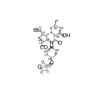 C[C@@H]1CC[C@@H](C(=O)N(c2cc(C(C)(C)C)sc2C(=O)O)[C@H]2CC[C@H](O[C@H]3CCOC3)CC2)[C@@H](O)C1